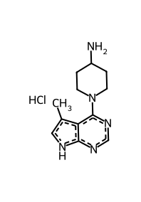 Cc1c[nH]c2ncnc(N3CCC(N)CC3)c12.Cl